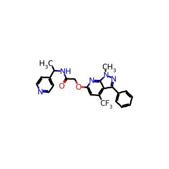 CC(NC(=O)COc1cc(C(F)(F)F)c2c(-c3ccccc3)nn(C)c2n1)c1ccncc1